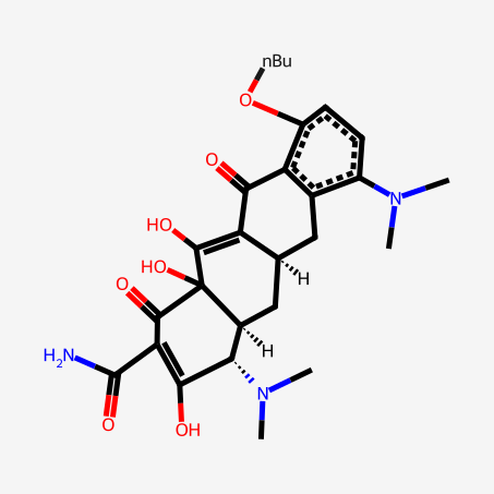 CCCCOc1ccc(N(C)C)c2c1C(=O)C1=C(O)C3(O)C(=O)C(C(N)=O)=C(O)[C@@H](N(C)C)[C@@H]3C[C@@H]1C2